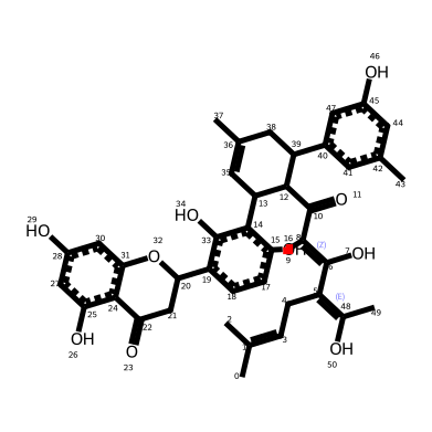 CC(C)=CCC(/C(O)=C(\C)C(=O)C1C(c2c(O)ccc(C3CC(=O)c4c(O)cc(O)cc4O3)c2O)C=C(C)CC1c1cc(C)cc(O)c1)=C(/C)O